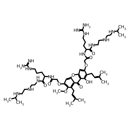 COc1c(OCC(=O)NC(CCCNC(=N)N)C(=O)NCCNCCNC(C)C)cc2oc3cc(OCC(=O)NC(CCCNC(=N)N)C(=O)NCCNCCNC(C)C)c(CC=C(C)C)c(O)c3c(=O)c2c1CC=C(C)C